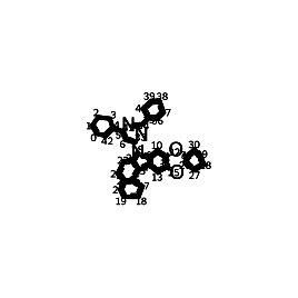 C1=CCCC(c2cc(-n3c4cc5c(cc4c4c6ccccc6ccc43)Oc3ccccc3O5)nc(-c3ccccc3)n2)=C1